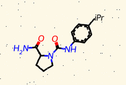 CC(C)c1ccc(NC(=O)N2CCCC2C(N)=O)cc1